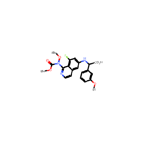 CCOc1cccc(C(Nc2cc(F)c3c(N(OC(C)(C)C)C(=O)OC(C)(C)C)nccc3c2)C(=O)O)c1